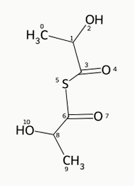 CC(O)C(=O)SC(=O)C(C)O